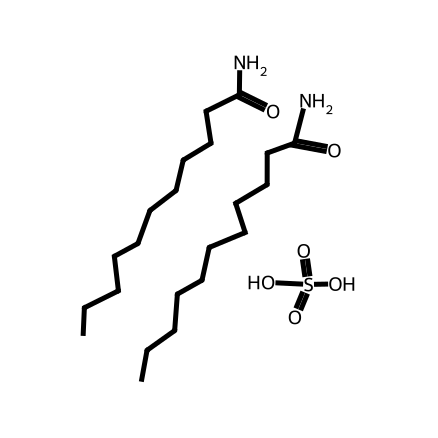 CCCCCCCCCCC(N)=O.CCCCCCCCCCC(N)=O.O=S(=O)(O)O